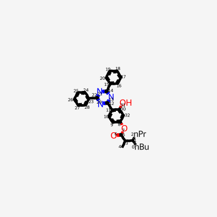 CCCCC(CCC)C(C)C(=O)Oc1ccc(-c2nc(-c3ccccc3)nc(-c3ccccc3)n2)c(O)c1